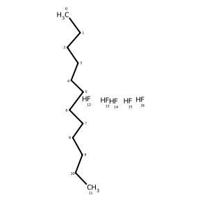 CCCCCCCCCCCC.F.F.F.F.F